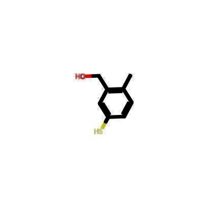 Cc1ccc(S)cc1CO